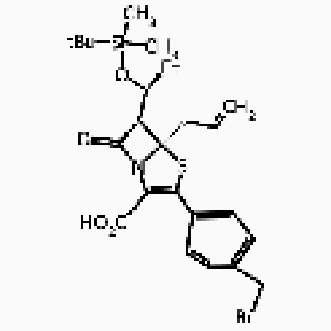 C=CC[C@]12SC(c3ccc(CBr)cc3)=C(C(=O)O)N1C(=O)[C@H]2[C@H](CC)O[Si](C)(C)C(C)(C)C